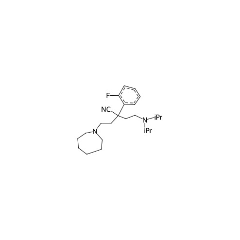 CC(C)N(CCC(C#N)(CCN1CCCCCC1)c1ccccc1F)C(C)C